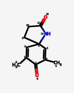 CC1=CC2(C=C(C)C1=O)CCC(=O)N2